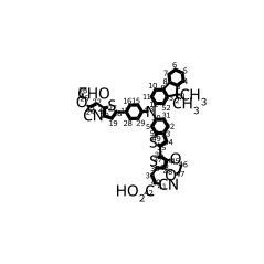 CC1(C)c2ccccc2-c2ccc(N(c3ccc(-c4ccc(/C=C(\C#N)OC=O)s4)cc3)c3ccc4cc(-c5sc(/C=C(\C#N)C(=O)O)c6c5OCCO6)sc4c3)cc21